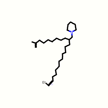 C=C(C)CCCCCCCC(CCCCCCCCCC/C=C\CC)CN1CCCCC1